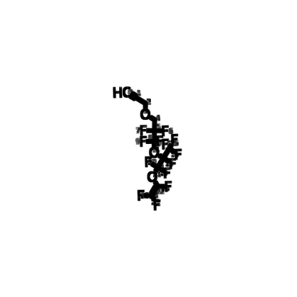 C#CCOCC(F)(F)C(F)(F)OC(F)(C(F)(F)F)C(F)(F)OC(F)=C(F)F